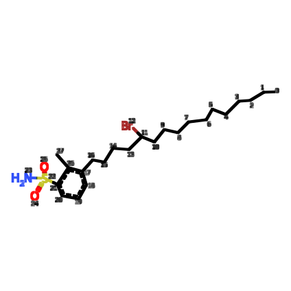 CCCCCCCCCCCC(Br)CCCCc1cccc(S(N)(=O)=O)c1C